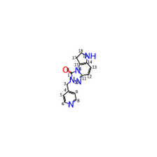 O=c1n(Cc2ccncc2)nc2ccc3c(n12)CCN3